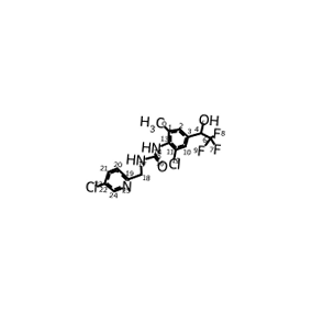 Cc1cc(C(O)C(F)(F)F)cc(Cl)c1NC(=O)NCc1ccc(Cl)cn1